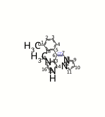 Cc1cccc(/C(=C/n2cccn2)c2c[nH]cn2)c1C